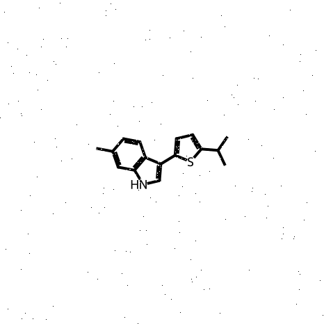 Cc1ccc2c(-c3ccc(C(C)C)s3)c[nH]c2c1